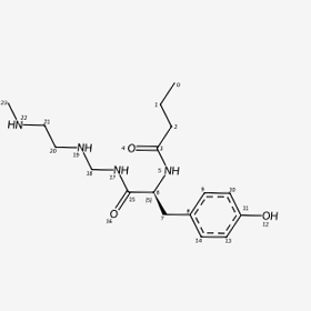 CCCC(=O)N[C@@H](Cc1ccc(O)cc1)C(=O)NCNCCNC